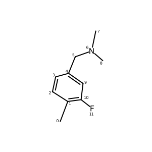 Cc1ccc(CN(C)C)cc1F